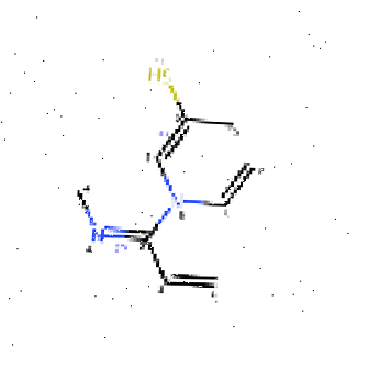 C=C/C(=N/C)N(C=C)/C=C(\C)S